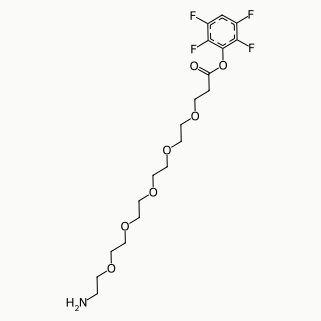 NCCOCCOCCOCCOCCOCCC(=O)Oc1c(F)c(F)cc(F)c1F